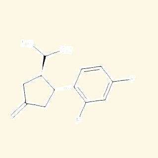 C=C1C[C@@H](c2ccc(F)cc2F)[C@H](C(O)O)C1